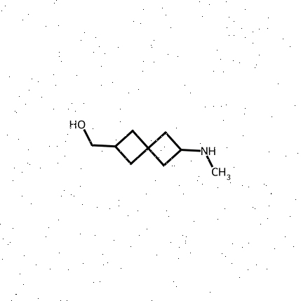 CNC1CC2(CC(CO)C2)C1